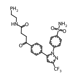 NS(=O)(=O)c1ccc(-n2nc(C(F)(F)F)cc2-c2ccc(C(=O)CCC(=O)NCCP)cc2)cc1